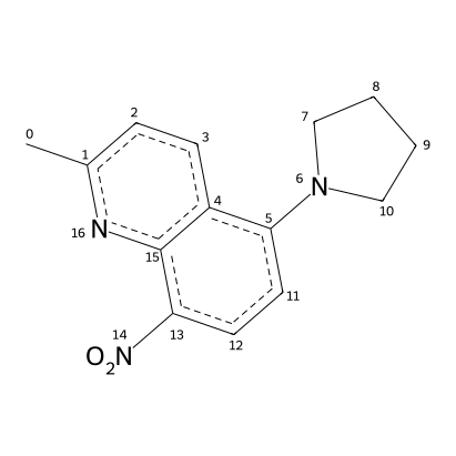 Cc1ccc2c(N3CCCC3)ccc([N+](=O)[O-])c2n1